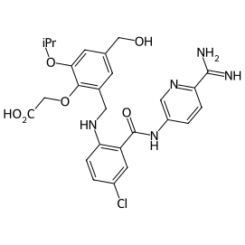 CC(C)Oc1cc(CO)cc(CNc2ccc(Cl)cc2C(=O)Nc2ccc(C(=N)N)nc2)c1OCC(=O)O